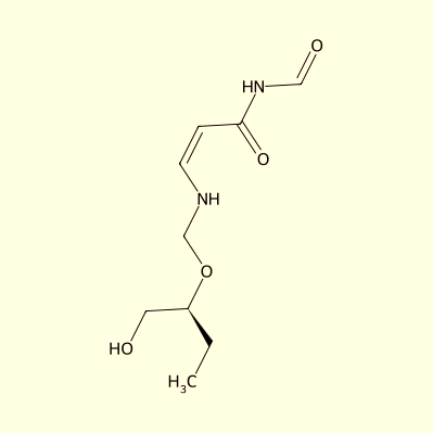 CC[C@@H](CO)OCN/C=C\C(=O)NC=O